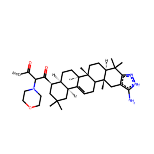 COC(=O)C(C(=O)[C@@H]1CC(C)(C)C[C@@H]2C3=CCC4[C@@]5(C)Cc6c(n[nH]c6N)C(C)(C)[C@@H]5CC[C@@]4(C)[C@]3(C)CC[C@@H]21)N1CCOCC1